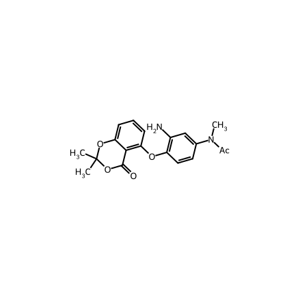 CC(=O)N(C)c1ccc(Oc2cccc3c2C(=O)OC(C)(C)O3)c(N)c1